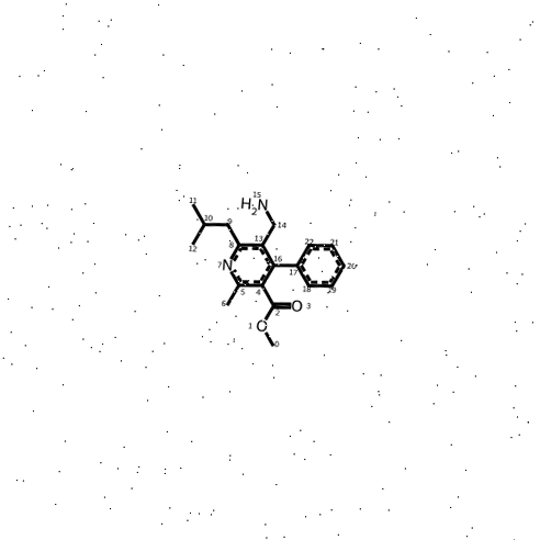 COC(=O)c1c(C)nc(CC(C)C)c(CN)c1-c1ccccc1